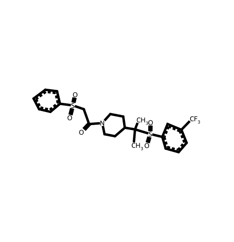 CC(C)(C1CCN(C(=O)CS(=O)(=O)c2ccccc2)CC1)S(=O)(=O)c1cccc(C(F)(F)F)c1